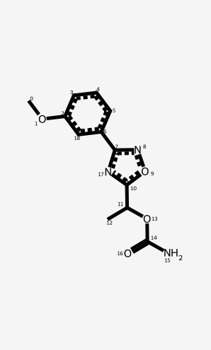 COc1cccc(-c2noc(C(C)OC(N)=O)n2)c1